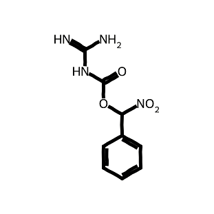 N=C(N)NC(=O)OC(c1ccccc1)[N+](=O)[O-]